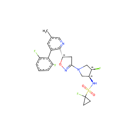 Cc1cnc([C@@H]2CC(N3C[C@@H](F)[C@@H](NS(=O)(=O)C4(F)CC4)C3)=NO2)c(-c2c(F)cccc2F)c1